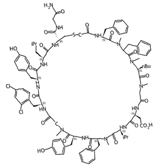 CCCC[C@H]1C(=O)N(C)CC(=O)N[C@@H](CC(=O)O)C(=O)N[C@@H](C(C)C)C(=O)N(C)[C@@H](Cc2ccccc2)C(=O)N[C@@H](Cc2ccc(O)cc2)C(=O)N(C)CC(=O)N[C@@H](Cc2ccc(Cl)cc2Cl)C(=O)N[C@@H](Cc2ccc(O)cc2)C(=O)N[C@@H](CC(C)C)C(=O)N[C@H](C(=O)NCC(N)=O)CSCC(=O)N[C@@H](Cc2ccccc2)C(=O)N(C)C(Cc2ccccc2)C(=O)N1C